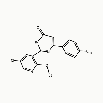 CCOc1ncc(Cl)cc1-c1nc(-c2ccc(C(F)(F)F)cc2)cc(=O)[nH]1